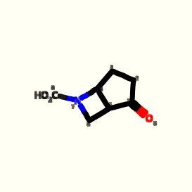 O=C1CCC2C1CN2C(=O)O